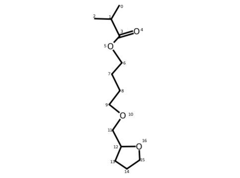 CC(C)C(=O)OCCCCOCC1CCCO1